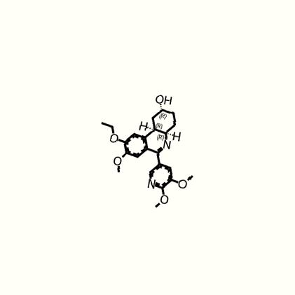 CCOc1cc2c(cc1OC)C(c1cnc(OC)c(OC)c1)=N[C@@H]1CC[C@@H](O)C[C@H]21